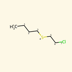 CCCCSCCCl